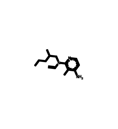 C=CN(CC(C)CCC)c1nccc(N)c1C